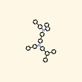 c1ccc(-c2ccc(N(c3ccc(-c4ccc(N(c5ccc(-c6ccccc6)cc5)c5cccc6ccccc56)cc4)cc3)c3ccc(-c4cc(-c5ccccc5)cc(-c5ccccc5)c4)cc3)cc2)cc1